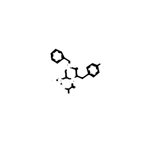 CC(C)C1ON(C(=O)O)C2CN(Cc3ccccc3)C(=O)C(Cc3ccc(O)cc3)N2C1=O